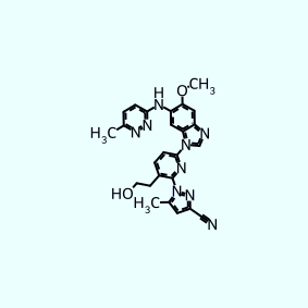 COc1cc2ncn(-c3ccc(CCO)c(-n4nc(C#N)cc4C)n3)c2cc1Nc1ccc(C)nn1